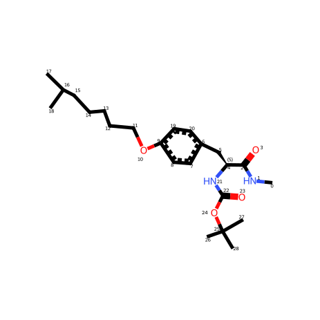 CNC(=O)[C@H](Cc1ccc(OCCCCCC(C)C)cc1)NC(=O)OC(C)(C)C